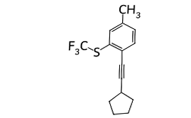 Cc1ccc(C#CC2CCCC2)c(SC(F)(F)F)c1